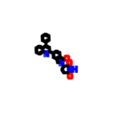 O=C1CCC(N2Cc3cc(-c4cc(-c5ccccc5)c5ccccc5n4)ccc3C2=O)C(=O)N1